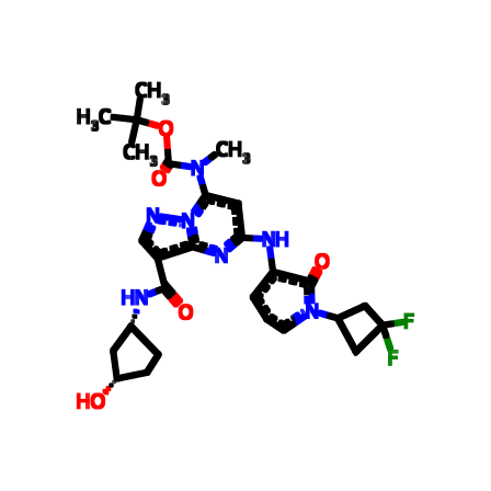 CN(C(=O)OC(C)(C)C)c1cc(Nc2cccn(C3CC(F)(F)C3)c2=O)nc2c(C(=O)N[C@@H]3CC[C@H](O)C3)cnn12